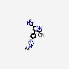 CC(=O)N1CCN(c2ccc(-c3cc(-c4cnn(C)c4)cn4ncc(C#N)c34)cc2)CC1